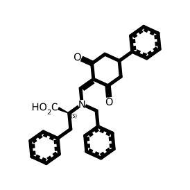 O=C1CC(c2ccccc2)CC(=O)C1=CN(Cc1ccccc1)[C@@H](Cc1ccccc1)C(=O)O